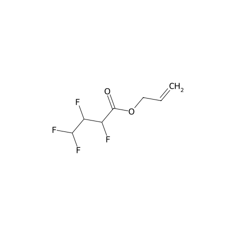 C=CCOC(=O)C(F)C(F)C(F)F